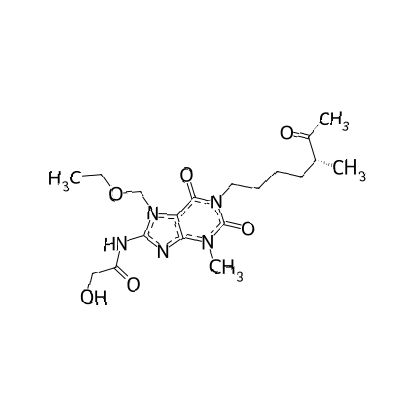 CCOCn1c(NC(=O)CO)nc2c1c(=O)n(CCCC[C@@H](C)C(C)=O)c(=O)n2C